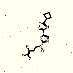 [O-][S+](CCC(F)=C(F)F)c1ncc(-c2noc(C3CCC3)n2)s1